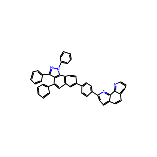 c1ccc(-c2cc3cc(-c4ccc(-c5ccc6ccc7cccnc7c6n5)cc4)ccc3c3c2c(-c2ccccc2)nn3-c2ccccc2)cc1